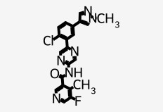 Cc1c(F)cncc1C(=O)Nc1cnc(-c2cc(-c3cnn(C)c3)ccc2Cl)cn1